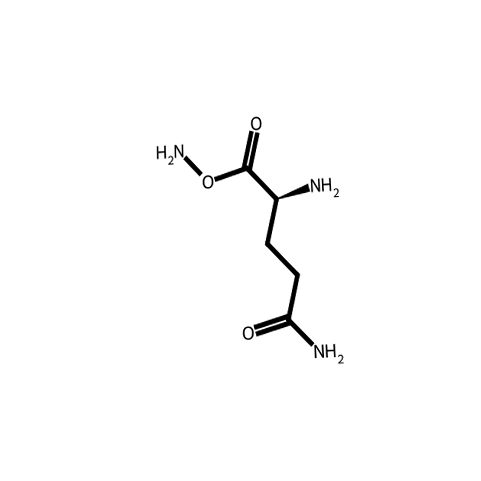 NOC(=O)[C@@H](N)CCC(N)=O